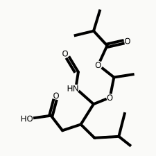 CC(C)CC(CC(=O)O)C(NC=O)OC(C)OC(=O)C(C)C